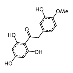 COc1ccc(CC(=O)c2c(O)cc(O)cc2O)cc1O